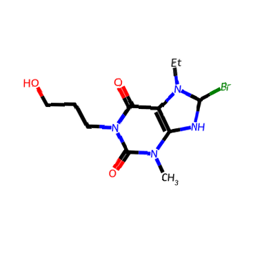 CCN1c2c(n(C)c(=O)n(CCCO)c2=O)NC1Br